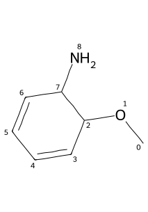 COC1C=CC=CC1N